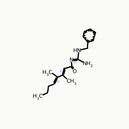 CCC/C=C(C)/C(C)=C/C(=O)/N=C(\N)NCc1ccccc1